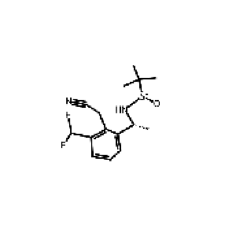 C[C@@H](N[S@+]([O-])C(C)(C)C)c1cccc(C(F)F)c1CC#N